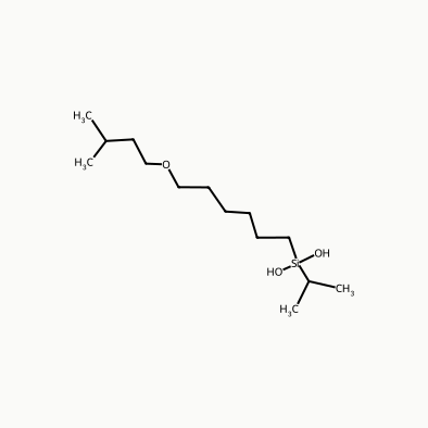 CC(C)CCOCCCCCC[Si](O)(O)C(C)C